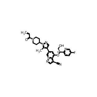 C=CC(=O)N1CCC(n2ncc(-c3cc(O[C@@H](CO)c4ccc(F)cn4)c4c(C#N)cnn4c3)c2C)CC1